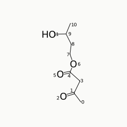 CC(=O)CC(=O)OCCC(C)O